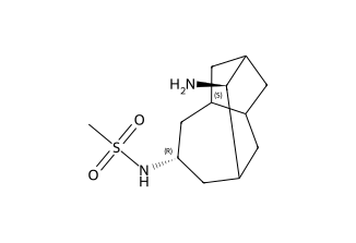 CS(=O)(=O)N[C@@H]1CC2CC3CC2CC(C1)[C@H]3N